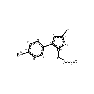 CCOC(=O)Cn1nc(C)cc1-c1ccc(Br)cc1